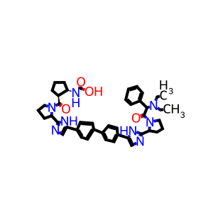 CCN(CC)C(C(=O)N1CCCC1c1ncc(-c2ccc(-c3ccc(-c4cnc(C5CCCN5C(=O)[C@H]5CCC[C@@H]5NC(=O)O)[nH]4)cc3)cc2)[nH]1)c1ccccc1